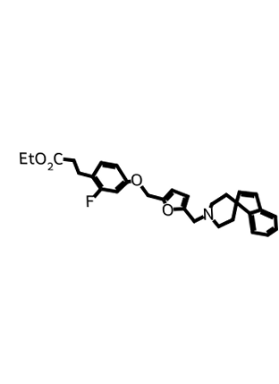 CCOC(=O)CCc1ccc(OCc2ccc(CN3CCC4(C=Cc5ccccc54)CC3)o2)cc1F